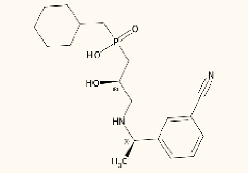 C[C@@H](NC[C@@H](O)CP(=O)(O)CC1CCCCC1)c1cccc(C#N)c1